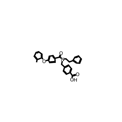 Cc1ccccc1Oc1ccc(C(=O)N(CCc2ccccc2)Cc2ccc(C(=O)O)cc2)cc1